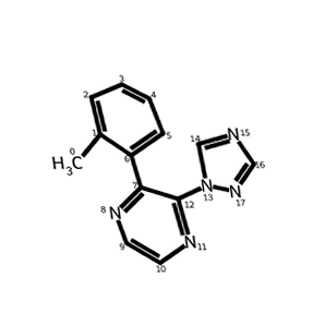 Cc1ccccc1-c1nccnc1-n1cncn1